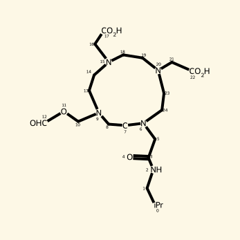 CC(C)CNC(=O)CN1CCN(COC=O)CCN(CC(=O)O)CCN(CC(=O)O)CC1